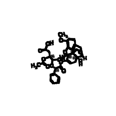 COc1ccc2c3c1O[C@H]1C(OC(=O)[C@@H](OC(O)[C@H](CC(=O)O)OC(C)=O)c4ccccc4)=CC[C@@]4(O)[C@H](CCC[C@]314)C2